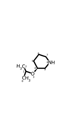 CC(C)O[C@H]1CCCNC1